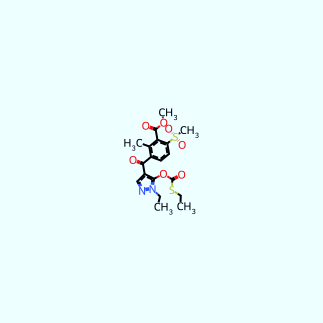 CCSC(=O)Oc1c(C(=O)c2ccc(S(C)(=O)=O)c(C(=O)OC)c2C)cnn1CC